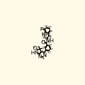 CC1(C)C(=O)Nc2ncnc(-c3cccc(C(=O)N[C@H](CN)Cc4cccc(F)c4)c3)c21